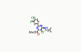 COC(=O)c1nc(-c2ccc(Cl)c(F)c2)nc(NCC2CC2)c1Cl